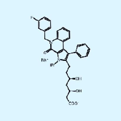 CC(C)n1c(CC[C@@H](O)C[C@@H](O)CC(=O)[O-])c(-c2ccccc2)c2c3ccccc3n(Cc3cccc(F)c3)c(=O)c21.[Na+]